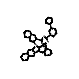 c1ccc(-c2cccc(-c3nc(-c4ccccc4)nc(-c4cc5ccccc5cc4-n4c5ccccc5c5cc6ccccc6cc54)n3)c2)cc1